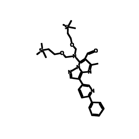 Cc1nc2c(-c3ccc(-c4ccccc4)nc3)cnn2c(N(COCC[Si](C)(C)C)COCC[Si](C)(C)C)c1C=O